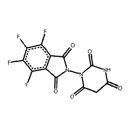 O=C1CC(=O)N(N2C(=O)c3c(F)c(F)c(F)c(F)c3C2=O)C(=O)N1